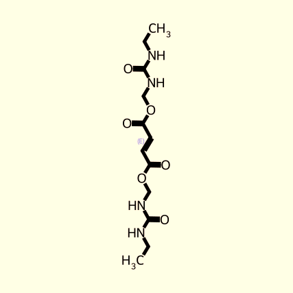 CCNC(=O)NCOC(=O)/C=C/C(=O)OCNC(=O)NCC